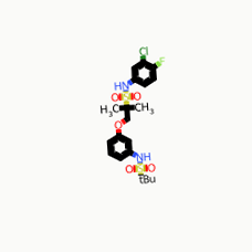 CC(C)(C)S(=O)(=O)Nc1cccc(OCC(C)(C)S(=O)(=O)Nc2ccc(F)c(Cl)c2)c1